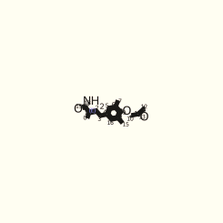 C/C(=C\Cc1cc(C)c(OCC2CO2)c(C)c1)C(N)=O